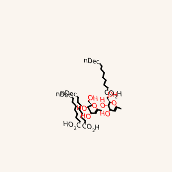 CC1=C[C@@H](O)[C@H](O)[C@@H](CO)O1.CC1=C[C@@H](O)[C@H](O)[C@@H](CO)O1.CCCCCCCCCCCCCCCCCC(=O)O.CCCCCCCCCCCCCCCCCC(=O)O.CCCCCCCCCCCCCCCCCC(=O)O